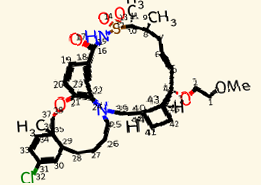 COCCO[C@H]1/C=C/C[C@H](C)[C@@H](C)S(=O)(=O)NC(=O)c2ccc3c(c2)N(CCCCC2C=C(Cl)C=CC2(C)CO3)C[C@@H]2CC[C@H]21